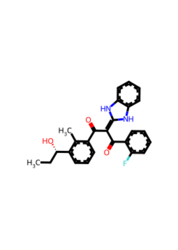 CC[C@H](O)c1cccc(C(=O)C(C(=O)c2ccccc2F)=C2Nc3ccccc3N2)c1C